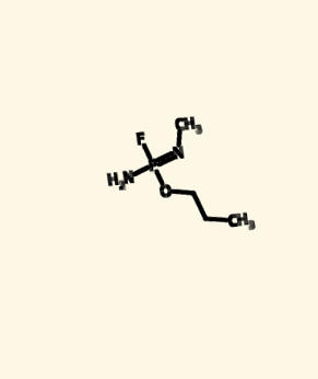 CCCOP(N)(F)=NC